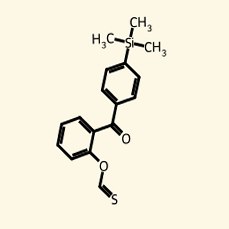 C[Si](C)(C)c1ccc(C(=O)c2ccccc2OC=S)cc1